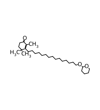 CC1=C(CCCCCCCCCCCCCCCOC2CCCCO2)C(C)(C)CCC1=O